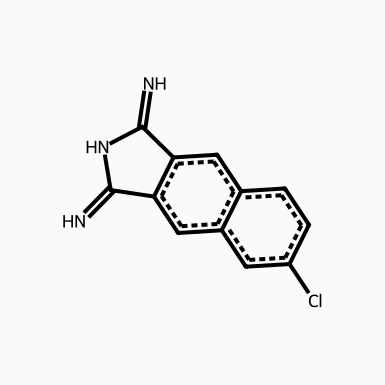 N=C1NC(=N)c2cc3cc(Cl)ccc3cc21